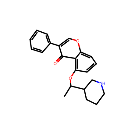 CC(Oc1cccc2occ(-c3ccccc3)c(=O)c12)C1CCCNC1